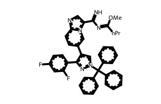 CCC/C(=N/C(=N)c1cnc2ccc(-c3cn(C(c4ccccc4)(c4ccccc4)c4ccccc4)nc3-c3ccc(F)cc3F)cn12)OC